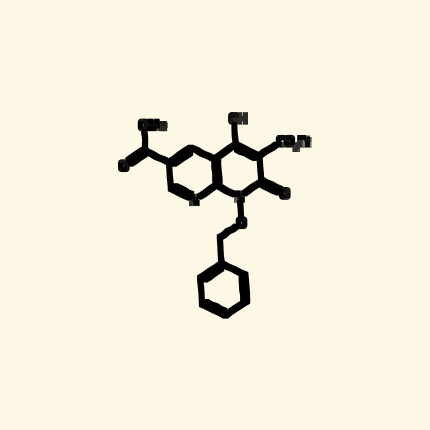 CCOC(=O)c1c(O)c2cc(C(=O)OC)cnc2n(OCc2ccccc2)c1=O